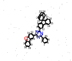 c1ccc(-c2nc(-c3ccc4c(c3)-c3ccccc3C43C4CC5CC(C4)CC3C5)nc(-c3ccc4oc5ccccc5c4c3)n2)cc1